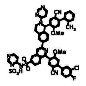 COc1cc(-c2ccc(F)c(Cl)c2)c(C#N)cc1-c1nc(-c2ccc3c(c2)C=CN(c2ccncn2)C3c2cc(C#N)c(-c3ccccc3C)cc2OC)cc2cc(S(=O)(=O)N(c3ccncn3)S(=O)(=O)O)ccc12